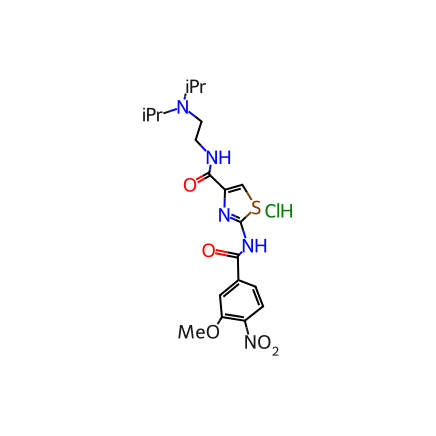 COc1cc(C(=O)Nc2nc(C(=O)NCCN(C(C)C)C(C)C)cs2)ccc1[N+](=O)[O-].Cl